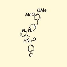 COc1ccc(CN2CCN(c3ncccc3CNC(=O)c3ccc(Cl)cc3)CC2)cc1OC